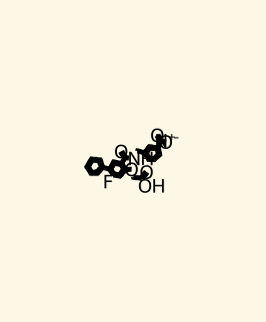 O=C(O)COc1cc(F)c(-c2ccccc2)cc1C(=O)NCc1cccc([N+](=O)[O-])c1